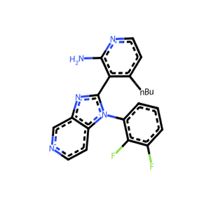 CCCCc1ccnc(N)c1-c1nc2cnccc2n1-c1cccc(F)c1F